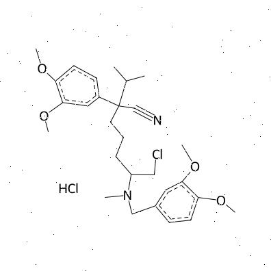 COc1ccc(CN(C)C(CCl)CCCC(C#N)(c2ccc(OC)c(OC)c2)C(C)C)cc1OC.Cl